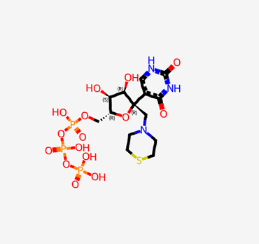 O=c1[nH]cc([C@]2(CN3CCSCC3)O[C@H](COP(=O)(O)OP(=O)(O)OP(=O)(O)O)[C@@H](O)[C@H]2O)c(=O)[nH]1